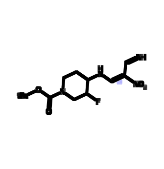 CC(C)(C)OC(=O)N1CCC(N/C=C(\C=N)[N+](=O)[O-])C(F)C1